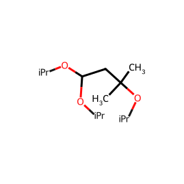 CC(C)OC(CC(C)(C)OC(C)C)OC(C)C